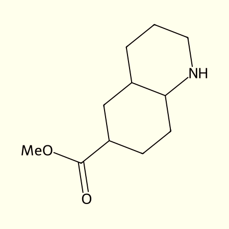 COC(=O)C1CCC2NCCCC2C1